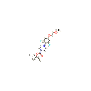 COCCOc1cc(F)c(N2CCN(C(=O)OC(C)(C)C)CC2)c(F)c1